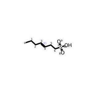 CCC/C=C/CCS(=O)(=O)O